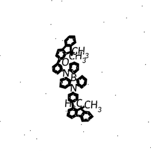 CC1(C)c2ccccc2-c2cccc(-c3ccc(N4c5ccccc5B5c6ccccc6N(c6cccc7c6oc6c8c(ccc67)-c6ccccc6C8(C)C)c6cccc4c65)cc3)c21